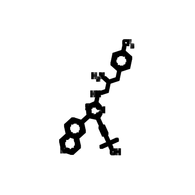 CC(C)(O)C#Cc1nc(NCC(N)Cc2ccc(C(F)(F)F)cc2)sc1-c1ccc2cnccc2c1